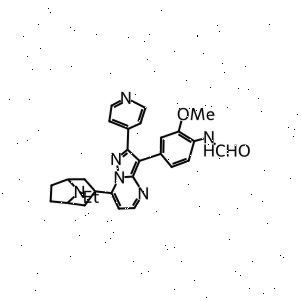 CCN1C2CCC1CC(c1ccnc3c(-c4ccc(NC=O)c(OC)c4)c(-c4ccncc4)nn13)C2